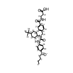 CCCC[S+]([O-])c1ccc(NC(=O)N(Cc2ccc(C(=O)NCCC(=O)O)cc2)C2CCC(C(C)(C)C)CC2)cc1